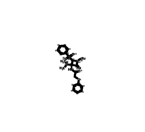 C[SiH](C)[C@@]1(NC(=O)COc2ccccc2)C(=O)N(C(C)(C)C)C1S(=O)(=O)c1ccccc1